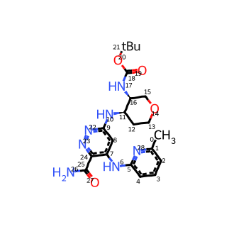 Cc1cccc(Nc2cc(N[C@@H]3CCOC[C@@H]3NC(=O)OC(C)(C)C)nnc2C(N)=O)n1